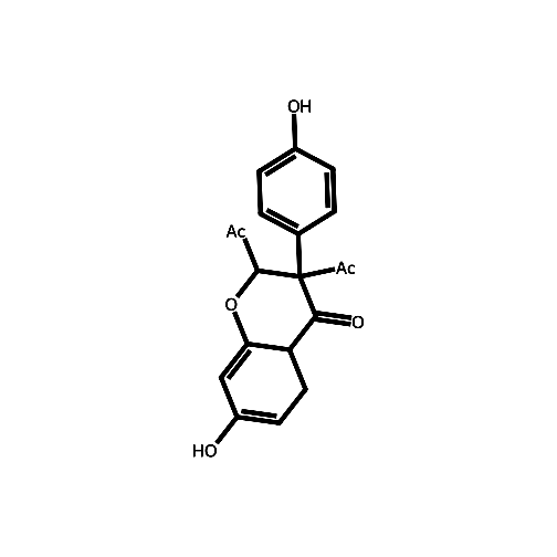 CC(=O)C1OC2=CC(O)=CCC2C(=O)C1(C(C)=O)c1ccc(O)cc1